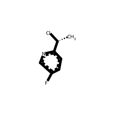 C[C@@H](Cl)c1ccc(F)cn1